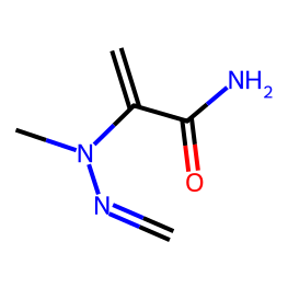 C=NN(C)C(=C)C(N)=O